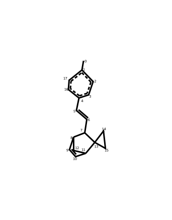 Cc1ccc(C=CC2C3C=CC(C3)C23CC3)cc1